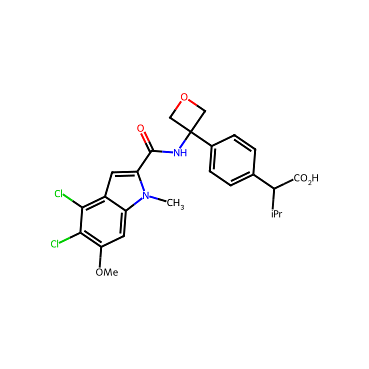 COc1cc2c(cc(C(=O)NC3(c4ccc(C(C(=O)O)C(C)C)cc4)COC3)n2C)c(Cl)c1Cl